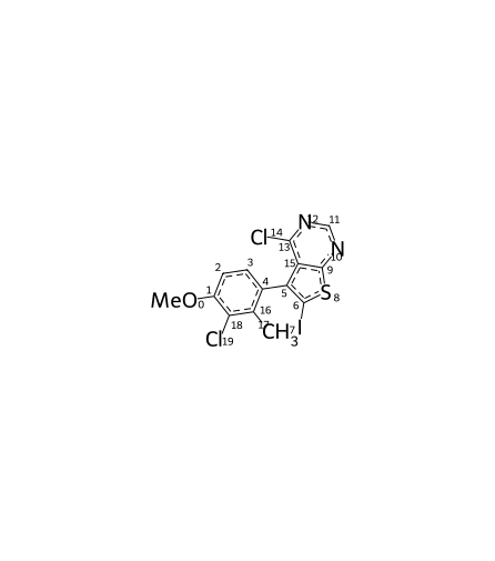 COc1ccc(-c2c(I)sc3ncnc(Cl)c23)c(C)c1Cl